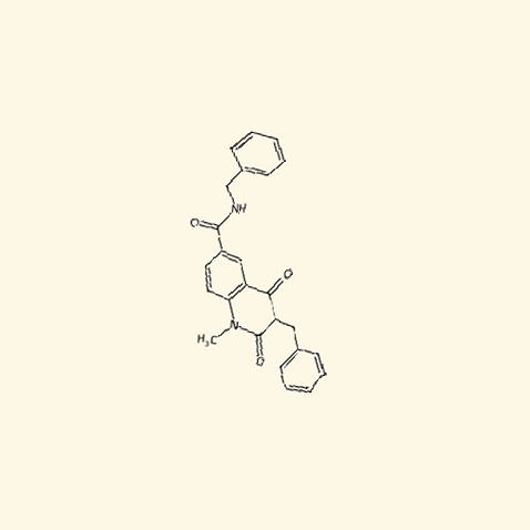 CN1C(=O)C(Cc2ccccc2)C(=O)c2cc(C(=O)NCc3ccccc3)ccc21